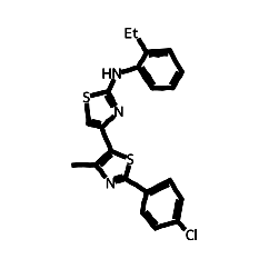 CCc1ccccc1Nc1nc(-c2sc(-c3ccc(Cl)cc3)nc2C)cs1